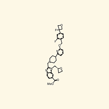 COC(=O)c1ccc2nc(CN3CCC(c4cccc(OCc5ccc(C6(F)COC6)cc5F)n4)CC3)n(C[C@@H]3CCO3)c2c1